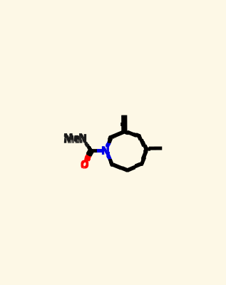 C=C1CC(C)CCCN(C(=O)NC)C1